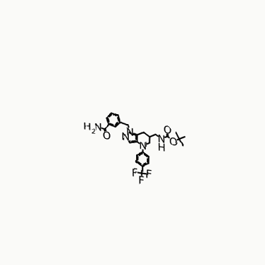 CC(C)(C)OC(=O)NCC1Cc2c(cnn2Cc2cccc(C(N)=O)c2)N(c2ccc(C(F)(F)F)cc2)C1